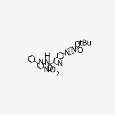 CC(C)(C)OC(=O)N1CCN(c2ccc3cc(C(=O)Nc4nc(-c5ccccc5)ccc4[N+](=O)[O-])cnc3c2)CC1